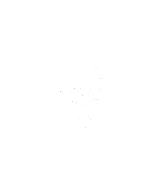 O=C(O)CN1CCN(P(=O)(Oc2ccccc2)Oc2ccccc2)/C1=N\C(=O)OCc1ccccc1